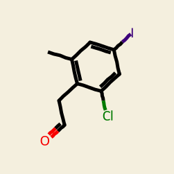 Cc1cc(I)cc(Cl)c1CC=O